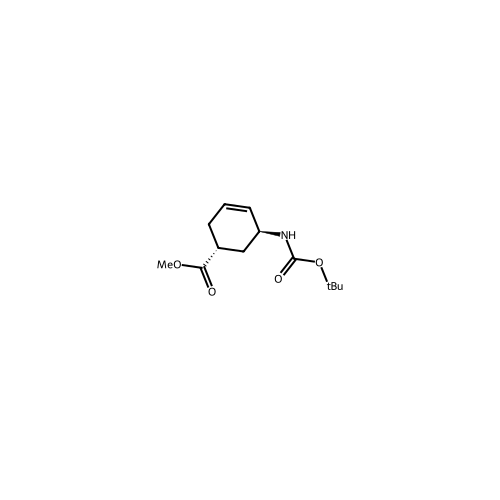 COC(=O)[C@@H]1CC=C[C@@H](NC(=O)OC(C)(C)C)C1